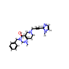 CN1CN(Cc2ccccc2)C(=O)C2=C1CCN(CC#Cc1nccn1C)C2